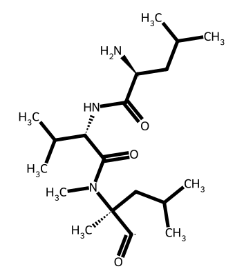 CC(C)C[C@H](N)C(=O)N[C@H](C(=O)N(C)[C@](C)([C]=O)CC(C)C)C(C)C